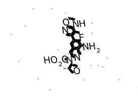 Cc1c(-c2cc3cc(N(C(=O)O)[C@@H]4COC[C@@H]4C)ncc3c(N)c2F)cnc2c1NCCO2